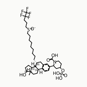 C[C@]12CC[C@@H]3c4ccc(C5CC(OP(=O)(O)O)CCN5C(=O)O)cc4C[C@@H](CCCCCCCCC[S+]([O-])CCCC(F)(F)C(F)(F)F)[C@H]3[C@@H]1CC[C@@H]2O